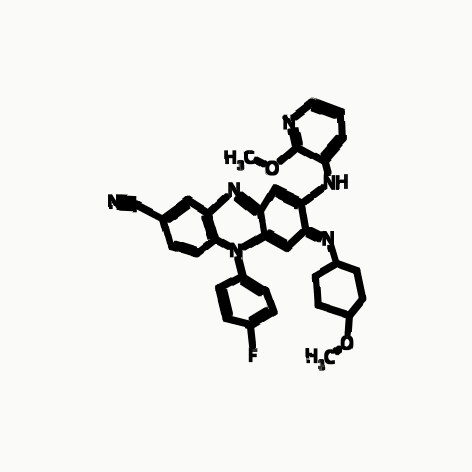 COc1ncccc1Nc1cc2nc3cc(C#N)ccc3n(-c3ccc(F)cc3)c-2c/c1=N\C1CCC(OC)CC1